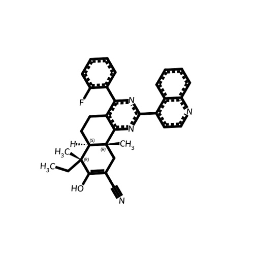 CC[C@@]1(C)C(O)=C(C#N)C[C@@]2(C)c3nc(-c4ccnc5ccccc45)nc(-c4ccccc4F)c3CC[C@H]12